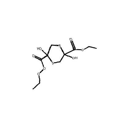 CCOOC(=O)C1(O)CSC(O)(C(=O)OCC)CS1